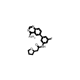 O=C(CC1CCCO1)Nc1cc(F)cc(-c2ccc3ncnc([AsH2])c3c2)c1